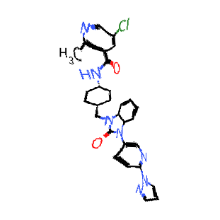 Cc1ncc(Cl)cc1C(=O)N[C@H]1CC[C@H](CN2C(=O)N(c3ccc(-n4cccn4)nc3)C3C=CC=CC32)CC1